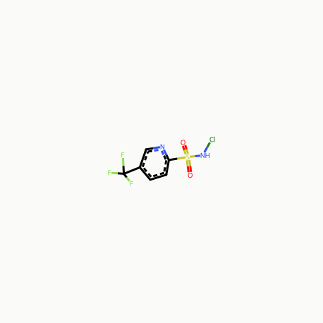 O=S(=O)(NCl)c1ccc(C(F)(F)F)cn1